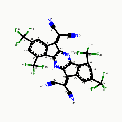 N#CC(C#N)=C1c2cc(C(F)(F)F)cc(C(F)(F)F)c2-c2nc3c(nc21)-c1c(cc(C(F)(F)F)cc1C(F)(F)F)C3=C(C#N)C#N